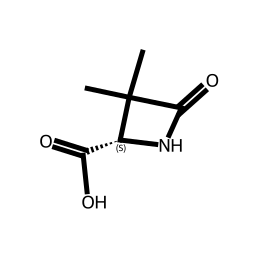 CC1(C)C(=O)N[C@@H]1C(=O)O